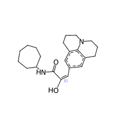 O=C(NC1CCCCCC1)/C(O)=C\c1cc2c3c(c1)CCCN3CCC2